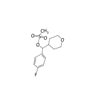 CS(=O)(=O)OC(c1ccc(F)cc1)C1CCOCC1